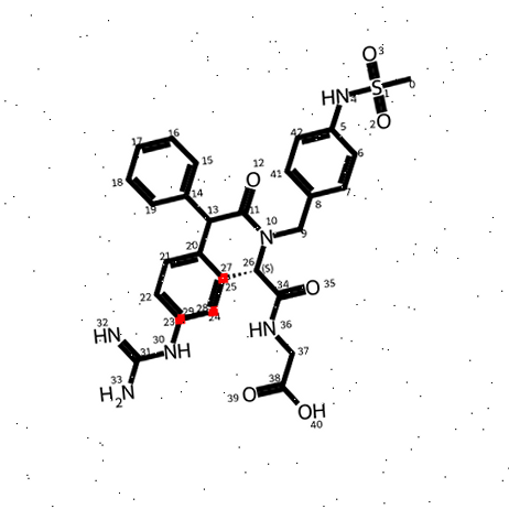 CS(=O)(=O)Nc1ccc(CN(C(=O)C(c2ccccc2)c2ccccc2)[C@@H](CCCNC(=N)N)C(=O)NCC(=O)O)cc1